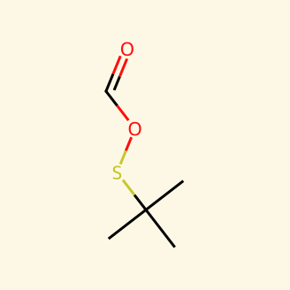 CC(C)(C)SOC=O